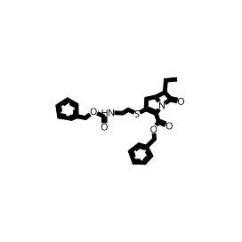 CCC1C(=O)N2C(C(=O)OCc3ccccc3)=C(SCCNC(=O)OCc3ccccc3)CC12